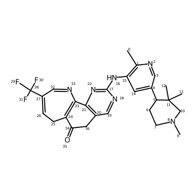 Cc1ncc(C2CCN(C)CC2(C)C)cc1Nc1ncc2c(n1)C1=C(CC=C(C(F)(F)F)C=N1)C(=O)C2